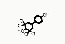 Oc1ccc(C2=CC(Cl)(Cl)C(O)C(Cl)(Cl)C2)cc1